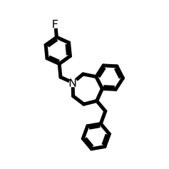 Fc1ccc(CN2CCC(Cc3ccccc3)c3ccccc3C2)cc1